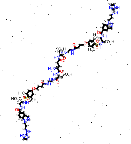 Cc1cc(OCCCC(=O)NCCNC(=O)[C@H](CS(=O)(=O)O)NC(=O)CC[C@H](N)C(=O)N[C@@H](CS(=O)(=O)O)C(=O)NCCNC(=O)CCCOc2cc(C)c(S(=O)(=O)N[C@@H](CNC(=O)c3ccc4c(cnn4CCCNc4ncc[nH]4)c3)C(=O)O)c(C)c2)cc(C)c1S(=O)(=O)N[C@@H](CNC(=O)c1ccc2c(cnn2CCCNc2ncc[nH]2)c1)C(=O)O